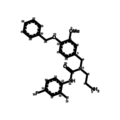 COc1cc(CN(CCN)C(=O)Nc2ccc(F)cc2F)ccc1OCc1ccccc1